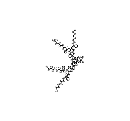 CCCCCCCCC(=O)OCC(COC(=O)CCCCCCCC)CC(=O)OC[C@H]1C[C@@H](OC(=O)CC(COC(=O)CCCCCCCC)COC(=O)CCCCCCCC)CN1C(=O)OC(C)(C)C